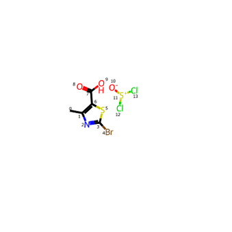 Cc1nc(Br)sc1C(=O)O.[O-][S+](Cl)Cl